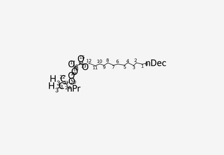 CCCCCCCCCCCCCCCCCCCCCCOC(=O)C(=O)OOOC(C)(C)CCC